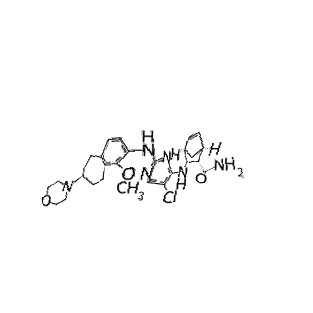 COc1c(Nc2ncc(Cl)c(NC3[C@@H](C(N)=O)[C@@H]4C=C[C@H]3C4)n2)ccc2c1CC[C@@H](N1CCOCC1)CC2